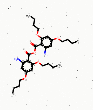 CCCCOc1cc(N)c(C(=O)OC(=O)c2c(N)cc(OCCCC)cc2OCCCC)c(OCCCC)c1